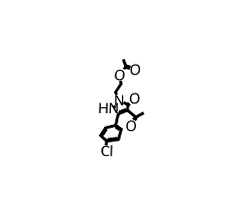 CC(=O)OCCn1[nH]c(-c2ccc(Cl)cc2)c(C(C)=O)c1=O